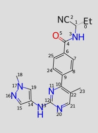 CC[C@@H](C#N)NC(=O)c1ccc(-c2nc(Nc3cnn(C)c3)ncc2C)cc1